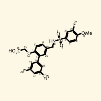 COc1ccc(S(=O)(=O)NCc2ccc(OCC(=O)O)c(-c3cc(F)cc(C#N)c3)c2)cc1F